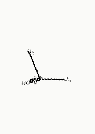 CCCCCCCCCCCCCCCCCCOc1ccc(NC(=O)c2ccc(O)cc2)cc1OCCCCCCCCCCCCCCCCCC